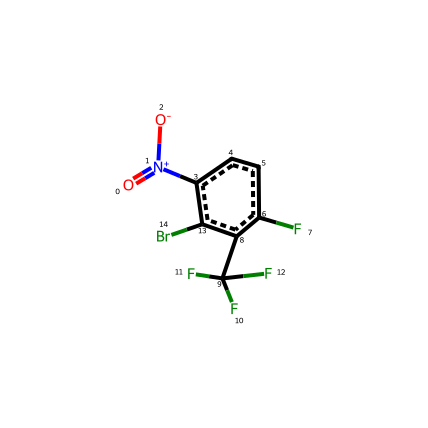 O=[N+]([O-])c1ccc(F)c(C(F)(F)F)c1Br